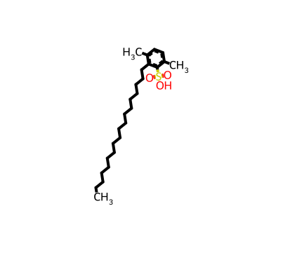 CCCCCCCCCCCCCCCCCCc1c(C)ccc(C)c1S(=O)(=O)O